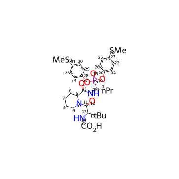 CCC[C@H](NC(=O)C1CCCCN1C(=O)C(NC(=O)O)C(C)(C)C)P(=O)(Oc1ccc(SC)cc1)Oc1ccc(SC)cc1